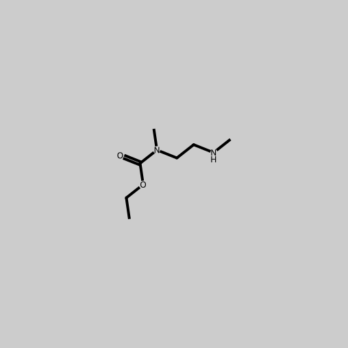 CCOC(=O)N(C)CCNC